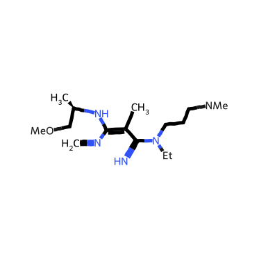 C=N/C(N[C@H](C)COC)=C(/C)C(=N)N(CC)CCCNC